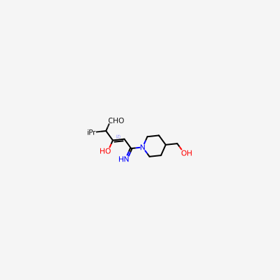 CC(C)C(C=O)/C(O)=C/C(=N)N1CCC(CO)CC1